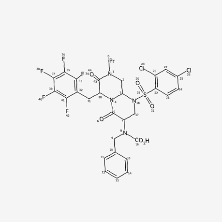 CC(C)N1CC2N(C(=O)C(N(Cc3ccccc3)C(=O)O)CN2S(=O)(=O)c2ccc(Cl)cc2Cl)C(Cc2c(F)c(F)c(F)c(F)c2F)C1=O